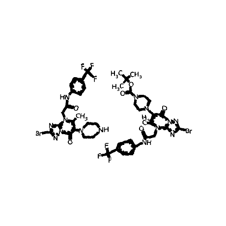 Cc1c(N2CCN(C(=O)OC(C)(C)C)CC2)c(=O)n2nc(Br)nc2n1CC(=O)Nc1ccc(C(F)(F)F)cc1.Cc1c(N2CCNCC2)c(=O)n2nc(Br)nc2n1CC(=O)Nc1ccc(C(F)(F)F)cc1